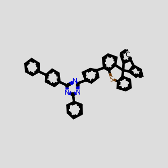 c1ccc(-c2ccc(-c3nc(-c4ccccc4)nc(-c4ccc(-c5cccc6c5Sc5ccccc5C65c6ccccc6-c6ccccc65)cc4)n3)cc2)cc1